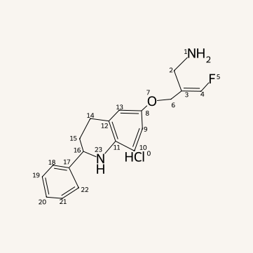 Cl.NC/C(=C\F)COc1ccc2c(c1)CCC(c1ccccc1)N2